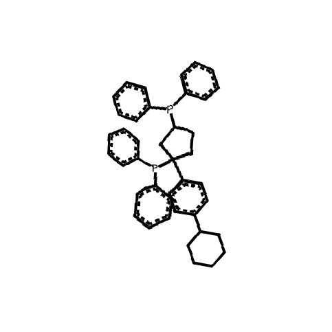 c1ccc(P(c2ccccc2)C2CCC(c3ccc(C4CCCCC4)cc3)(P(c3ccccc3)c3ccccc3)C2)cc1